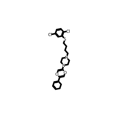 Clc1ccc(Cl)c(SCCCCN2CCN(C3=COC(C4=CC=CCC4)=CO3)CC2)c1